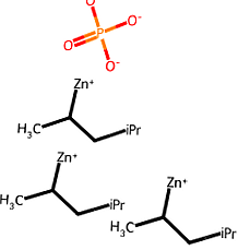 CC(C)C[CH](C)[Zn+].CC(C)C[CH](C)[Zn+].CC(C)C[CH](C)[Zn+].O=P([O-])([O-])[O-]